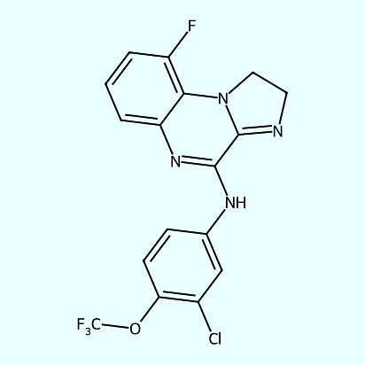 Fc1cccc2c1N1CCN=C1C(Nc1ccc(OC(F)(F)F)c(Cl)c1)=N2